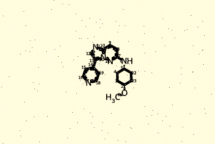 CO[C@H]1CC[C@H](Nc2ccc3ncc(-c4ccncc4)n3n2)CC1